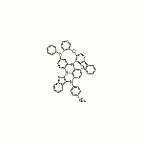 CC(C)(C)c1ccc(N2c3cccc4c3B(c3ccc5cc3N4c3c(ccc4c3oc3ccccc34)Oc3ccccc3N5c3ccccc3)c3sc4ccccc4c32)cc1